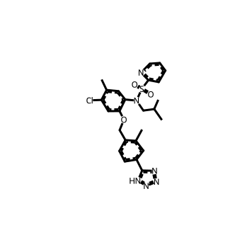 Cc1cc(N(CC(C)C)S(=O)(=O)c2ccccn2)c(OCc2ccc(-c3nnn[nH]3)cc2C)cc1Cl